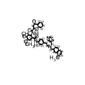 COc1cc(NC(=O)c2cc(=O)c3ccccc3o2)c(C(=O)Nc2ccc(CCN(Cc3ccc4ccn(C)c4c3)Cc3cncs3)cc2)cc1OC